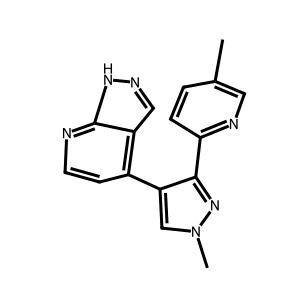 Cc1ccc(-c2nn(C)cc2-c2ccnc3[nH]ncc23)nc1